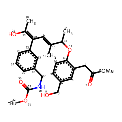 COC(=O)Cc1cc(CO)ccc1OC(C)/C(C)=C/C(=C(\C)O)c1cccc(CNC(=O)OC(C)(C)C)c1